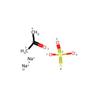 CC(C)=O.O=S([O-])([O-])=S.[Na+].[Na+]